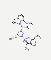 CCc1cccc(CC)c1N=C(C)c1cccc(C(C)=Nc2c(CC)cccc2CC)n1.[Cl-].[Cl-].[Cl-].[V+3]